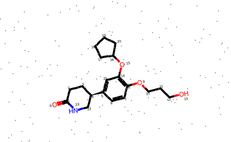 O=C1CC[C@@H](c2ccc(OCCCO)c(OC3CCCC3)c2)CN1